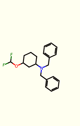 FC(F)OC1CCCC(N(Cc2ccccc2)Cc2ccccc2)C1